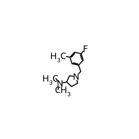 Cc1cc(F)cc(CN2CCC(N(C)C)C2)c1